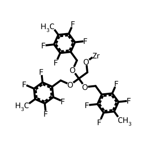 Cc1c(F)c(F)c(COC(C[O][Zr])(OCc2c(F)c(F)c(C)c(F)c2F)OCc2c(F)c(F)c(C)c(F)c2F)c(F)c1F